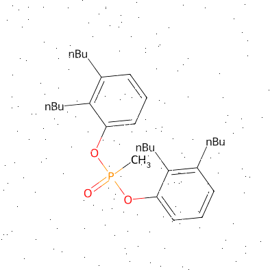 CCCCc1cccc(OP(C)(=O)Oc2cccc(CCCC)c2CCCC)c1CCCC